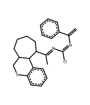 C=C(/N=C(Cl)\N=C(/C)C1CCCCC2CSc3ccccc3C21)c1ccccc1